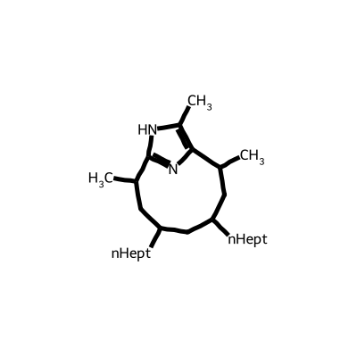 CCCCCCCC1CC(CCCCCCC)CC(C)c2nc([nH]c2C)C(C)C1